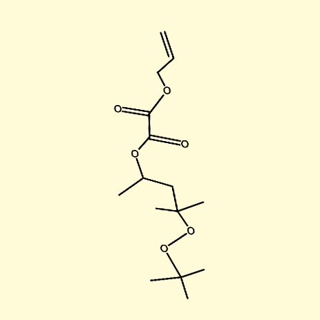 C=CCOC(=O)C(=O)OC(C)CC(C)(C)OOC(C)(C)C